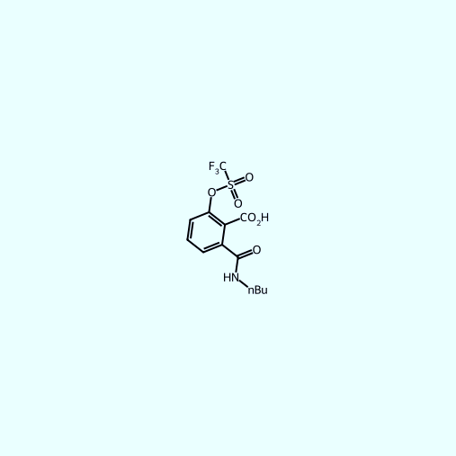 CCCCNC(=O)c1cccc(OS(=O)(=O)C(F)(F)F)c1C(=O)O